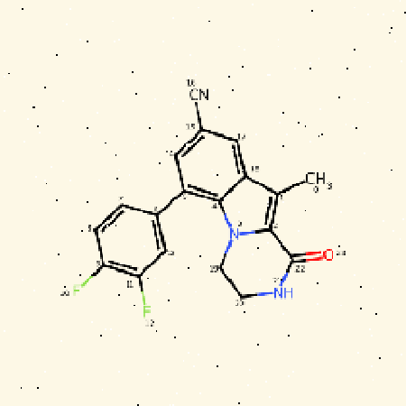 Cc1c2n(c3c(-c4ccc(F)c(F)c4)cc(C#N)cc13)CCNC2=O